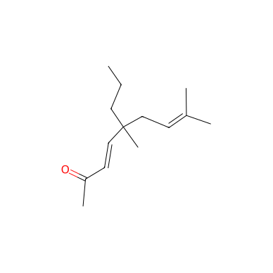 CCCC(C)(C=CC(C)=O)CC=C(C)C